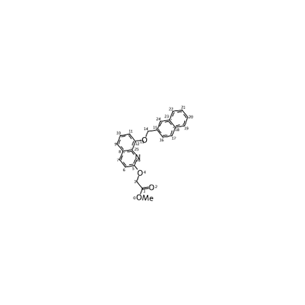 COC(=O)COc1ccc2cccc(OCc3ccc4ccccc4c3)c2n1